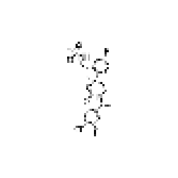 C[C@@H](c1ccc(Cl)c(F)c1)N1CC[C@](CCCNS(C)(=O)=O)(c2ccc(F)cc2)OC1=O